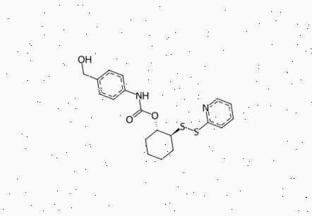 O=C(Nc1ccc(CO)cc1)O[C@H]1CCCC[C@@H]1SSc1ccccn1